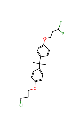 CC(C)(c1ccc(OCCCCl)cc1)c1ccc(OCCC(F)F)cc1